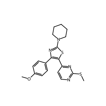 COc1ccc(-c2nc(N3CCCCC3)sc2-c2ccnc(SC)n2)cc1